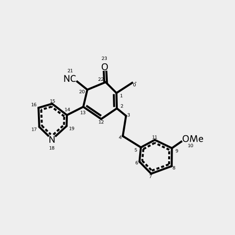 [CH2]C1=C(CCc2cccc(OC)c2)C=C(c2cccnc2)C(C#N)C1=O